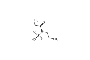 CCCN(C(=S)SC)S(=O)(=O)O